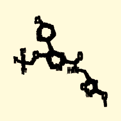 COc1cc(CNC(=O)c2cc(-c3ccc(Cl)cc3)c(OCC(F)(F)F)cn2)on1